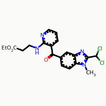 CCOC(=O)CCNc1ncccc1C(=O)c1ccc2c(c1)nc(C(Cl)Cl)n2C